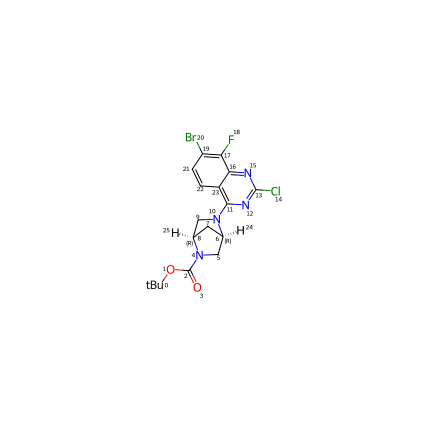 CC(C)(C)OC(=O)N1C[C@H]2C[C@@H]1CN2c1nc(Cl)nc2c(F)c(Br)ccc12